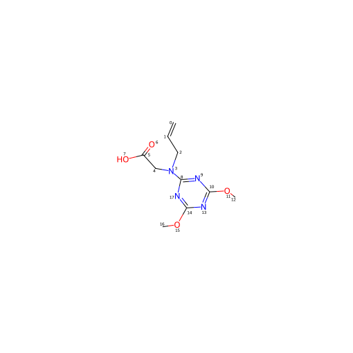 C=CCN(CC(=O)O)c1nc(OC)nc(OC)n1